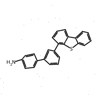 Nc1ccc(-c2cccc(-c3cccc4c3sc3ccccc34)c2)cc1